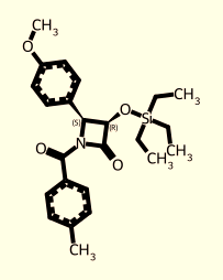 CC[Si](CC)(CC)O[C@H]1C(=O)N(C(=O)c2ccc(C)cc2)[C@H]1c1ccc(OC)cc1